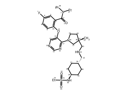 CCN(C(=O)c1cc(F)ccc1Oc1cncnc1N1CC[C@](C)(CNC[C@H]2CC[C@H](NS(=O)(=O)CC)CC2)C1)C(C)C